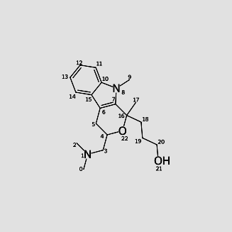 CN(C)CC1Cc2c(n(C)c3ccccc23)C(C)(CCCO)O1